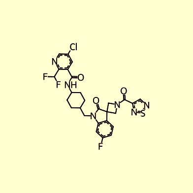 O=C(NC1CCC(CN2C(=O)C3(CN(C(=O)c4cnsn4)C3)c3ccc(F)cc32)CC1)c1cc(Cl)cnc1C(F)F